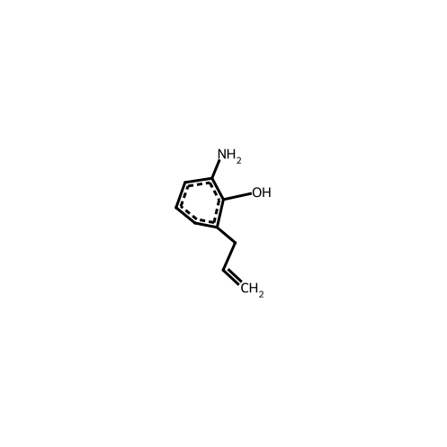 C=CCc1cccc(N)c1O